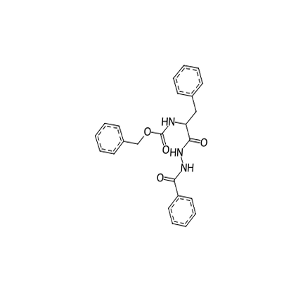 O=C(NC(Cc1ccccc1)C(=O)NNC(=O)c1ccccc1)OCc1ccccc1